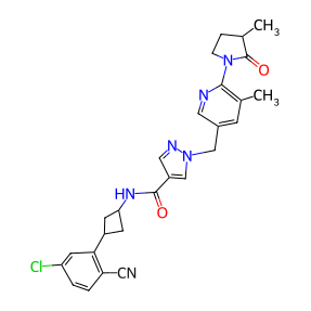 Cc1cc(Cn2cc(C(=O)NC3CC(c4cc(Cl)ccc4C#N)C3)cn2)cnc1N1CCC(C)C1=O